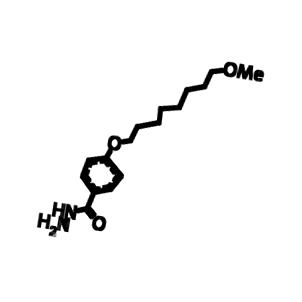 COCCCCCCCCOc1ccc(C(=O)NN)cc1